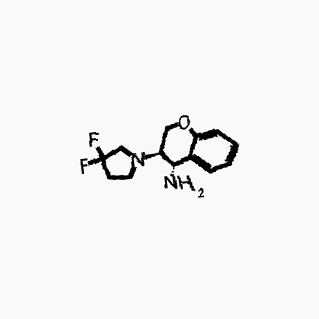 N[C@H]1c2ccccc2OC[C@@H]1N1CCC(F)(F)C1